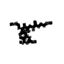 CSCC[C@H](NC(=O)CNC(=O)CCCC=O)C(=O)N[C@@H](CC(=O)N=O)C(N)=O